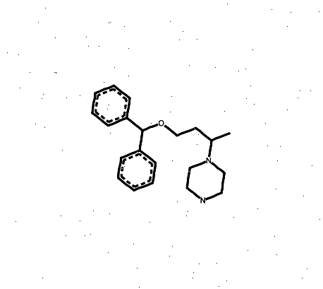 CC(CCOC(c1ccccc1)c1ccccc1)N1CC[N]CC1